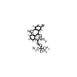 CC(C)(C)O/N=C(\N)c1cccnc1C(=O)c1cc(Br)ccc1O